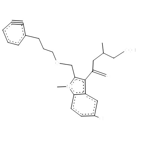 CC(CC(=O)O)CC(=O)c1c(COCCCc2c#cccc2)n(C)c2ccc(Cl)cc12